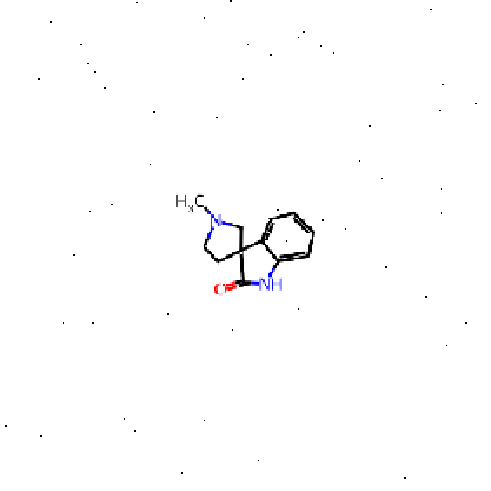 CN1CCC2(C1)C(=O)Nc1ccccc12